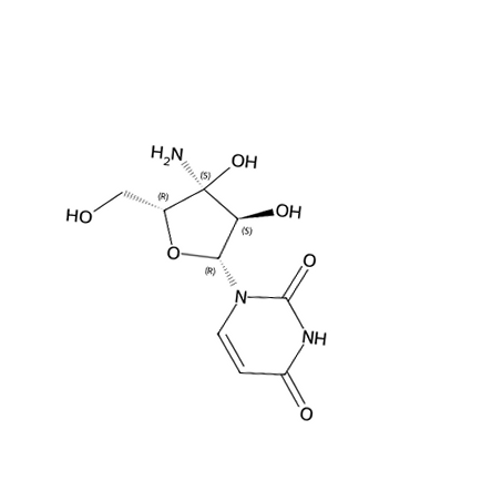 N[C@@]1(O)[C@@H](CO)O[C@@H](n2ccc(=O)[nH]c2=O)[C@@H]1O